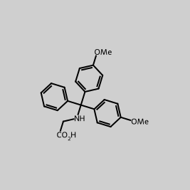 COc1ccc(C(NCC(=O)O)(c2ccccc2)c2ccc(OC)cc2)cc1